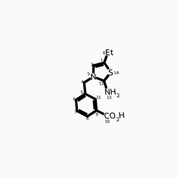 CCC1=CN(Cc2cccc(C(=O)O)c2)C(N)S1